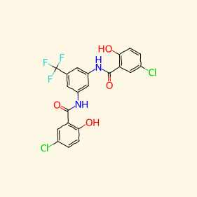 O=C(Nc1cc(NC(=O)c2cc(Cl)ccc2O)cc(C(F)(F)F)c1)c1cc(Cl)ccc1O